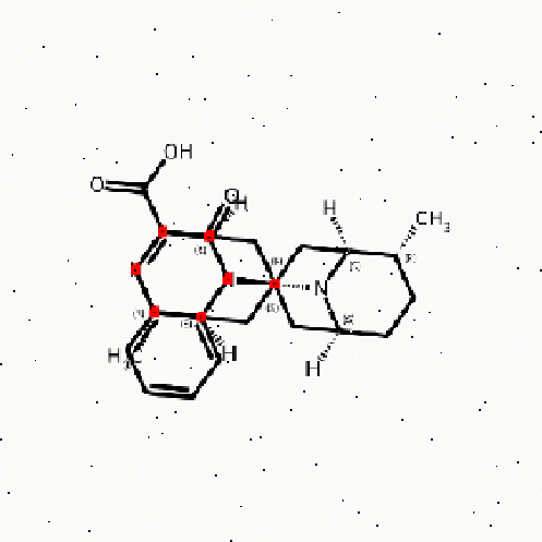 C[C@@H]1CC[C@@H]2C[C@H]1C[C@@H](N1[C@H]3CC[C@@H](C)[C@@H]1C[C@H](n1c(=O)c(C(=O)O)nc4ccccc41)C3)C2